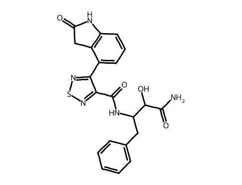 NC(=O)C(O)C(Cc1ccccc1)NC(=O)c1nsnc1-c1cccc2c1CC(=O)N2